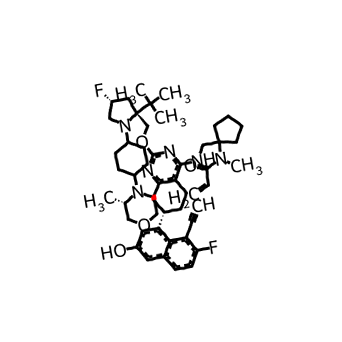 C#Cc1c(F)ccc2cc(O)cc([C@H]3CCc4c(nc(OC[C@]5(C(C)(C)C)C[C@@H](F)CN5C5CCC(N6CCOC[C@@H]6C)CC5)nc4NCC4(N(C)C(=O)C=C)CCCC4)C3)c12